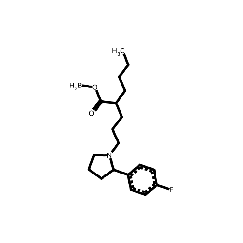 BOC(=O)C(CCCC)CCCN1CCCC1c1ccc(F)cc1